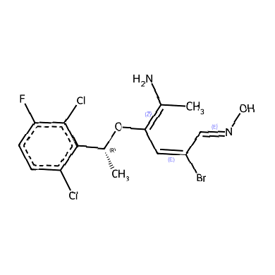 C\C(N)=C(/C=C(Br)\C=N\O)O[C@H](C)c1c(Cl)ccc(F)c1Cl